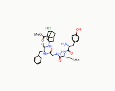 COC(=O)C12CC3CC(CC(NC(=O)[C@H](CC4C=CC=CC4)NC(=O)CNC(=O)[C@@H](CCSC)NC(=O)[C@@H](N)Cc4ccc(O)cc4)(C3)C1)C2.Cl